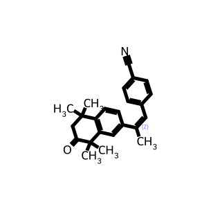 C/C(=C/c1ccc(C#N)cc1)c1ccc2c(c1)C(C)(C)C(=O)CC2(C)C